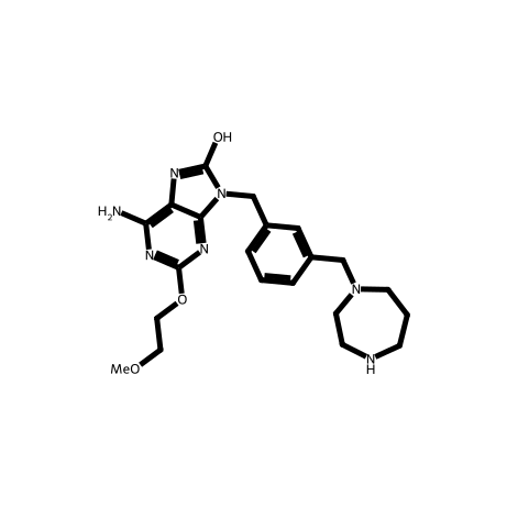 COCCOc1nc(N)c2nc(O)n(Cc3cccc(CN4CCCNCC4)c3)c2n1